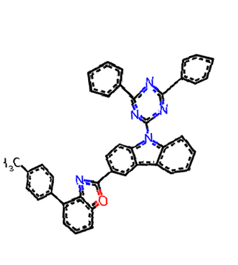 Cc1ccc(-c2cccc3oc(-c4ccc5c(c4)c4ccccc4n5-c4nc(-c5ccccc5)nc(-c5ccccc5)n4)nc23)cc1